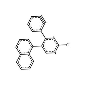 Clc1ncc(-c2cccc3ccccc23)c(-c2c#cccc2)n1